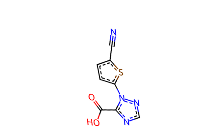 N#Cc1ccc(-n2ncnc2C(=O)O)s1